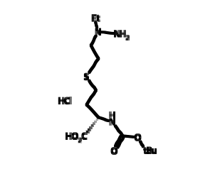 CCN(N)CCSCC[C@H](NC(=O)OC(C)(C)C)C(=O)O.Cl